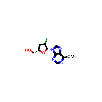 COc1ncnc2c1ncn2[C@@H]1O[C@H](CO)CC1F